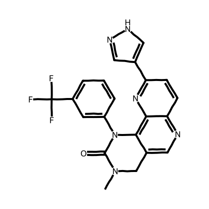 CN1Cc2cnc3ccc(-c4cn[nH]c4)nc3c2N(c2cccc(C(F)(F)F)c2)C1=O